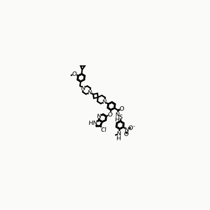 CNc1ccc(SNC(=O)c2ccc(N3CCC4(CC3)CC(N3CCN(Cc5ccc(C6CC6)c(OC)c5)CC3)C4)cc2Oc2cnc3[nH]cc(Cl)c3c2)cc1[N+](=O)[O-]